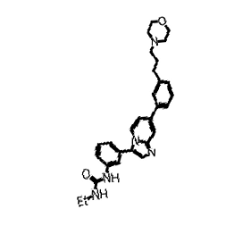 CCNC(=O)Nc1cccc(-c2cnc3cc(-c4cccc(CCCN5CCOCC5)c4)ccn23)c1